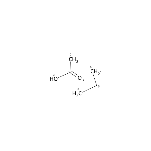 CC(=O)O.[CH2]CC